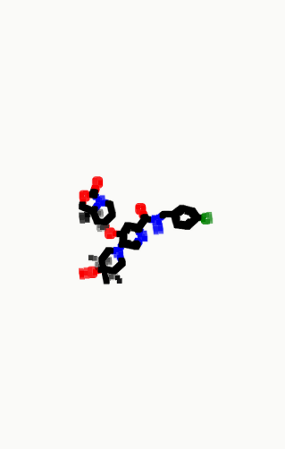 C[C@@H]1CN(c2cnc(C(=O)NCc3ccc(Cl)cc3)cc2O[C@H]2CCN3C(=O)OC[C@@H]3C2)C[C@H](C)[C@]1(C)O